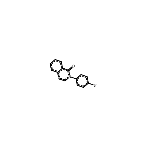 O=c1c2ccccc2ncn1-c1ccc(Br)cc1